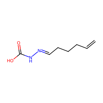 C=CCCCC=NNC(=O)O